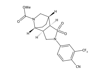 COC(=O)N1C[C@H]2CC[C@@H]1[C@@H]1CN(c3ccc(C#N)c(C(F)(F)F)c3)S(=O)(=O)[C@H]21